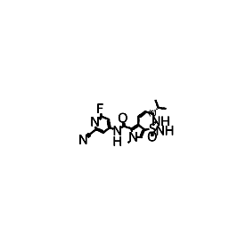 CC(C)[C@H]1C=Cc2c(cn(C)c2C(=O)Nc2cc(F)nc(C#N)c2)S(=N)(=O)N1